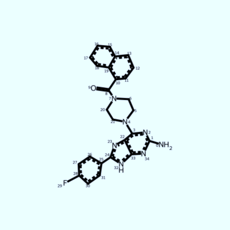 Nc1nc(N2CCN(C(=O)c3cccc4ccccc34)CC2)c2nc(-c3ccc(F)cc3)[nH]c2n1